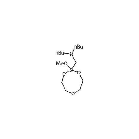 CCCCN(CCCC)C[Si]1(OC)OCCOCCO1